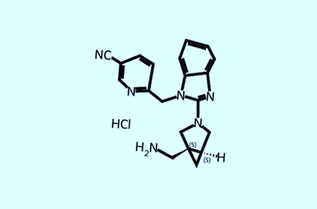 Cl.N#Cc1ccc(Cn2c(N3C[C@H]4C[C@]4(CN)C3)nc3ccccc32)nc1